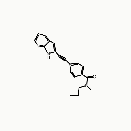 CN(CCF)C(=O)c1ccc(C#Cc2cc3cccnc3[nH]2)cc1